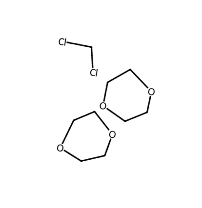 C1COCCO1.C1COCCO1.ClCCl